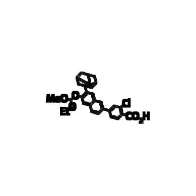 CCOC(OC)Oc1cc2ccc(-c3ccc(C(=O)O)c(Cl)c3)cc2cc1C12CC3CC(CC(C3)C1)C2